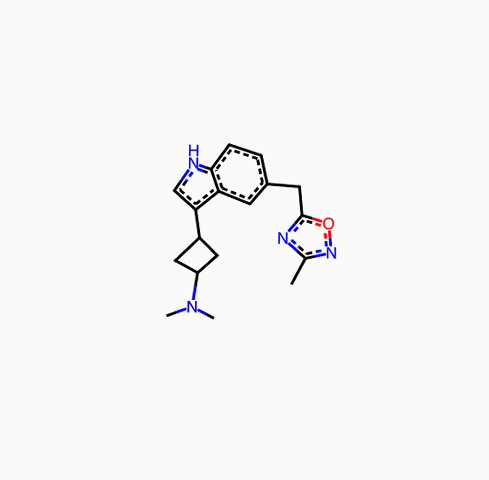 Cc1noc(Cc2ccc3[nH]cc(C4CC(N(C)C)C4)c3c2)n1